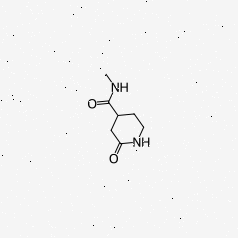 CNC(=O)C1CCNC(=O)C1